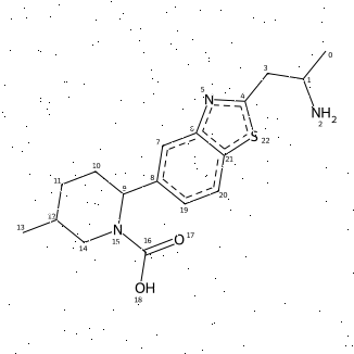 CC(N)Cc1nc2cc(C3CCC(C)CN3C(=O)O)ccc2s1